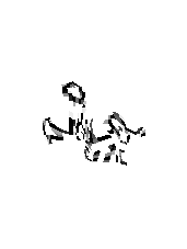 CC(=O)Oc1c(Cc2ccc(C3CC3)o2)nc2c(Cc3ccccc3)nc(-c3ccccc3)cn12